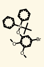 COc1cc(Br)cc(O[Si](c2ccccc2)(c2ccccc2)C(C)(C)C)c1OC